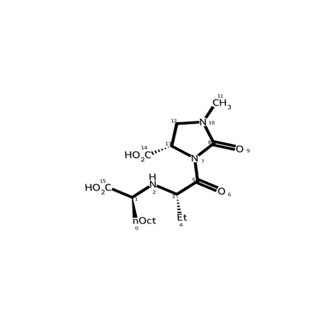 CCCCCCCC[C@H](N[C@@H](CC)C(=O)N1C(=O)N(C)C[C@H]1C(=O)O)C(=O)O